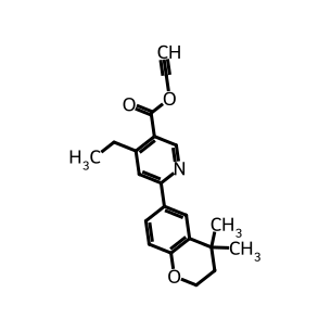 C#COC(=O)c1cnc(-c2ccc3c(c2)C(C)(C)CCO3)cc1CC